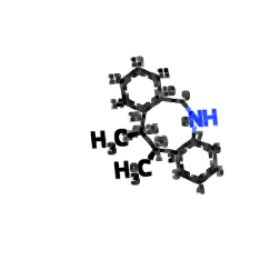 C[C@@H]1c2ccccc2NCc2ccccc2[C@@H]1C